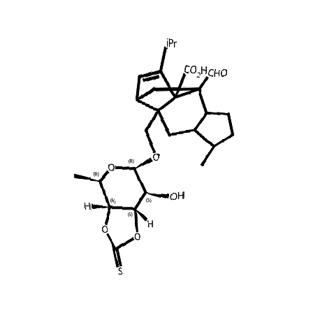 CC(C)C1=CC2CC3(C=O)C4CCC(C)C4CC2(CO[C@@H]2O[C@H](C)[C@H]4OC(=S)O[C@H]4[C@@H]2O)C13C(=O)O